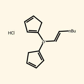 CCCCC=[CH][Zr]([C]1=CC=CC1)[C]1=CC=CC1.Cl